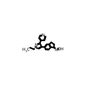 CCCn1cc(-c2ccc3c(c2)CC/C3=N\O)c(-c2ccncc2)n1